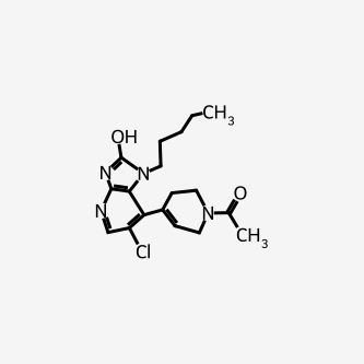 CCCCCn1c(O)nc2ncc(Cl)c(C3=CCN(C(C)=O)CC3)c21